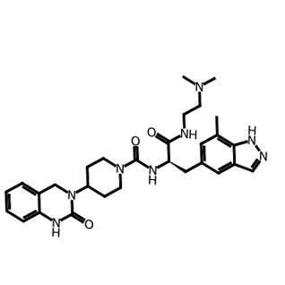 Cc1cc(C[C@@H](NC(=O)N2CCC(N3Cc4ccccc4NC3=O)CC2)C(=O)NCCN(C)C)cc2cn[nH]c12